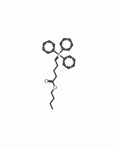 CCCCOC(=O)CCCC=P(c1ccccc1)(c1ccccc1)c1ccccc1